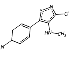 CNc1c(Cl)nsc1C1=CCC(N)C=C1